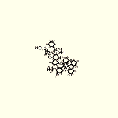 CCSc1nc2c(C(C)(C)C)c(-c3c(C)c(F)cc4nn(C(c5ccccc5)(c5ccccc5)c5ccccc5)cc34)c(C3CC3)cc2c(OC2CN(C(=O)O)C2)c1O[C@@H](C)c1ccccc1